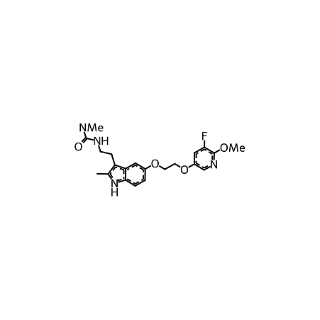 CNC(=O)NCCc1c(C)[nH]c2ccc(OCCOc3cnc(OC)c(F)c3)cc12